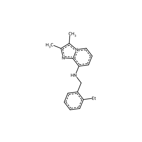 CCc1ccccc1CNc1cccn2c(C)c(C)nc12